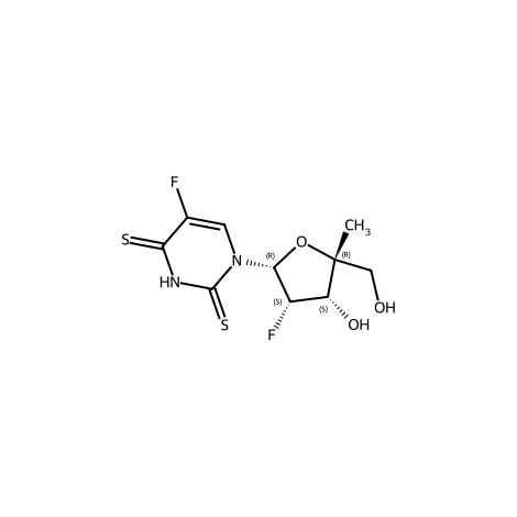 C[C@]1(CO)O[C@@H](n2cc(F)c(=S)[nH]c2=S)[C@@H](F)[C@H]1O